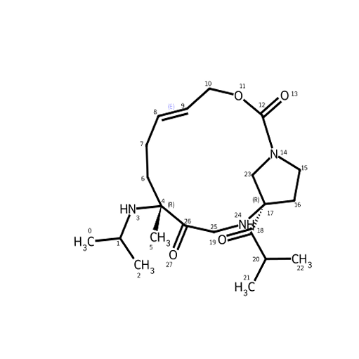 CC(C)N[C@]1(C)CC/C=C/COC(=O)N2CC[C@](C(=O)C(C)C)(C2)NCC1=O